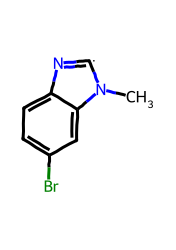 Cn1[c]nc2ccc(Br)cc21